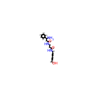 NC(CC(=O)NCCC(=O)NCC#CC#CCO)c1ccccc1